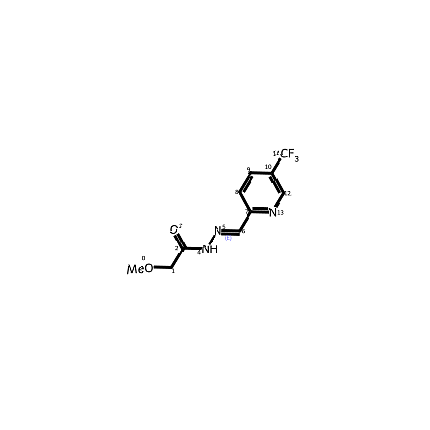 COCC(=O)N/N=C/c1ccc(C(F)(F)F)cn1